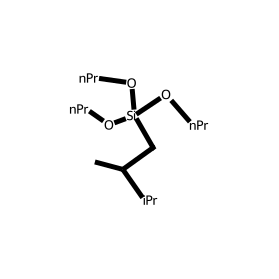 CCCO[Si](CC(C)C(C)C)(OCCC)OCCC